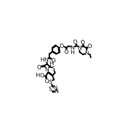 CCN1CCN(C(=O)NCC(=O)Oc2ccc(CC(=O)NC3C(=O)N4C(C(=O)O)=C(CSc5nncs5)CS[C@@H]34)cc2)C(=O)C1=O